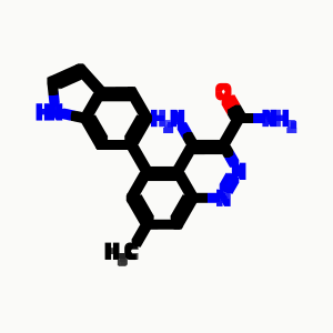 Cc1cc(-c2ccc3cc[nH]c3c2)c2c(N)c(C(N)=O)nnc2c1